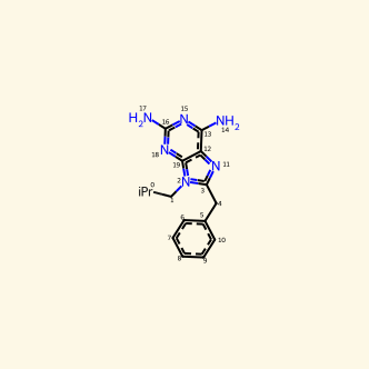 CC(C)Cn1c(Cc2ccccc2)nc2c(N)nc(N)nc21